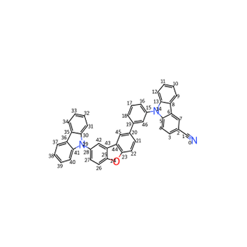 N#Cc1ccc2c(c1)c1ccccc1n2-c1cccc(-c2ccc3oc4ccc(-n5c6ccccc6c6ccccc65)cc4c3c2)c1